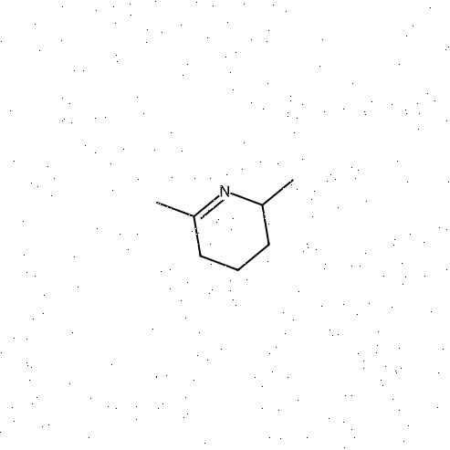 CC1=NC(C)CCC1